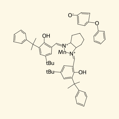 CC(C)(C)c1cc(C=[N+]2[Mn][N+](=Cc3cc(C(C)(C)C)cc(C(C)(C)c4ccccc4)c3O)C3CCCCC32)c(O)c(C(C)(C)c2ccccc2)c1.[O-]c1ccc(Oc2ccccc2)cc1